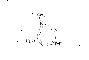 Cn1cc[nH+]c1.[Cu+2]